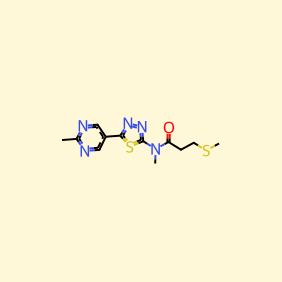 CSCCC(=O)N(C)c1nnc(-c2cnc(C)nc2)s1